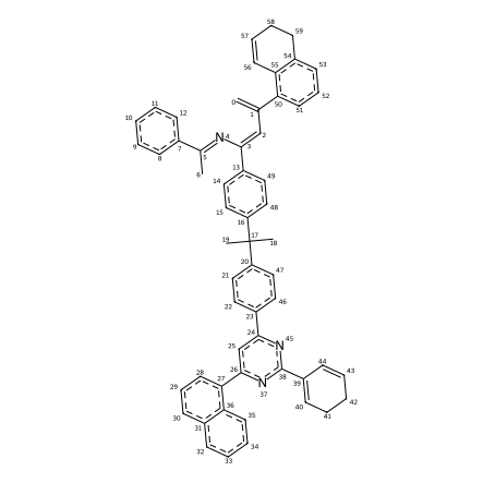 C=C(/C=C(\N=C(/C)c1ccccc1)c1ccc(C(C)(C)c2ccc(-c3cc(-c4cccc5ccccc45)nc(C4=CCCC=C4)n3)cc2)cc1)c1cccc2c1C=CCC2